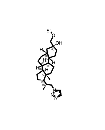 CCOC[C@@]1(O)CC[C@H]2[C@H](CC[C@@H]3[C@@H]2CC[C@]2(C)[C@@H]([C@H](C)Cn4ccnn4)CC[C@@H]32)C1